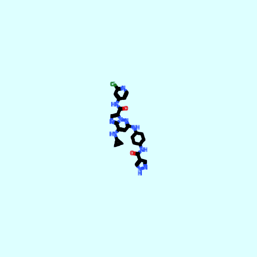 O=C(NC1CCC(Nc2cc(NC3CC3)c3ncc(C(=O)Nc4ccnc(Cl)c4)n3n2)CC1)c1cn[nH]c1